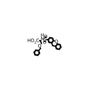 O=C(O)C(COCc1ccccc1)NS(=O)(=O)c1ccc2c(c1)Cc1ccccc1O2